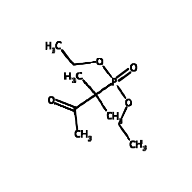 CCOP(=O)(OCC)C(C)(C)C(C)=O